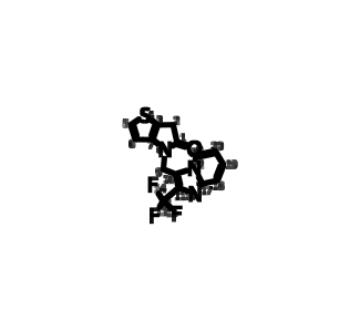 O=C1Cc2sccc2N1Cc1c(C(F)(F)F)nc2ccccn12